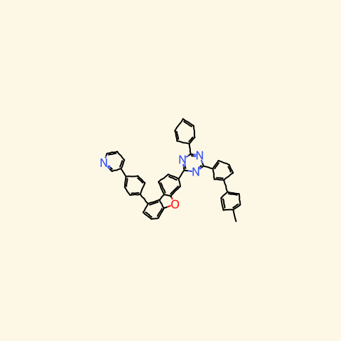 Cc1ccc(-c2cccc(-c3nc(-c4ccccc4)nc(-c4ccc5c(c4)oc4cccc(-c6ccc(-c7cccnc7)cc6)c45)n3)c2)cc1